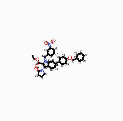 CCOC(=O)c1c(N2CCCC2=O)c2ccc(-c3ccc(OCc4ccccc4)cc3)cc2n1Cc1cccc([N+](=O)[O-])c1